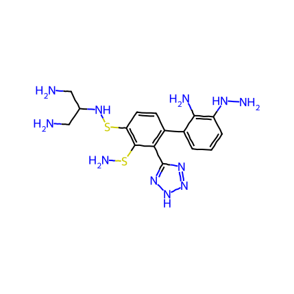 NCC(CN)NSc1ccc(-c2cccc(NN)c2N)c(-c2nn[nH]n2)c1SN